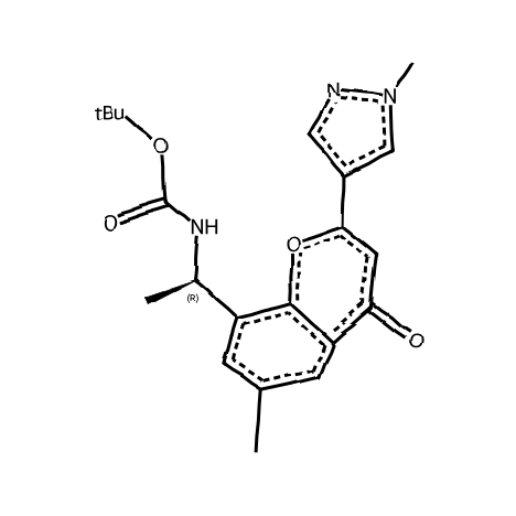 Cc1cc([C@@H](C)NC(=O)OC(C)(C)C)c2oc(-c3cnn(C)c3)cc(=O)c2c1